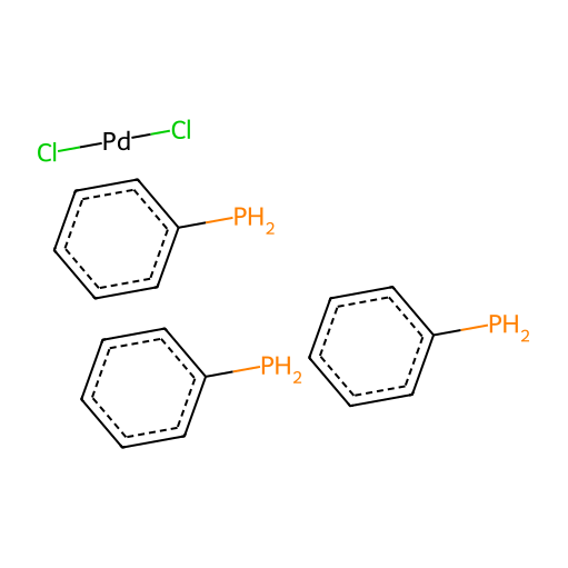 Pc1ccccc1.Pc1ccccc1.Pc1ccccc1.[Cl][Pd][Cl]